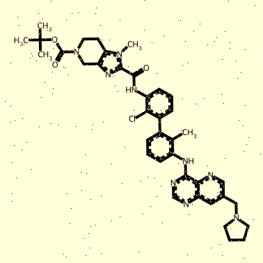 Cc1c(Nc2ncnc3cc(CN4CCCC4)cnc23)cccc1-c1cccc(NC(=O)c2nc3c(n2C)CCN(C(=O)OC(C)(C)C)C3)c1Cl